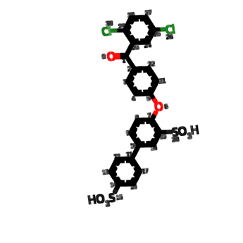 O=C(c1ccc(Oc2ccc(-c3ccc(S(=O)(=O)O)cc3)cc2S(=O)(=O)O)cc1)c1cc(Cl)ccc1Cl